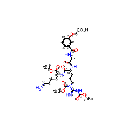 CCCCOC(=O)NC(=N)N(CCC[C@H](NC(=O)CNC(=O)c1cccc(OCC(=O)O)c1)C(=O)N[C@@H](CCCCN)C(=O)OC(C)(C)C)C(=O)OC(C)(C)C